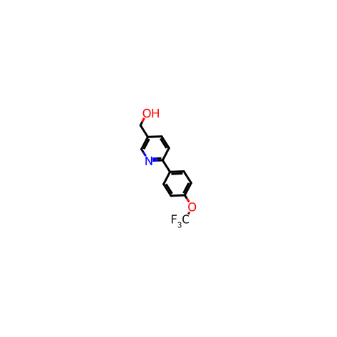 OCc1ccc(-c2ccc(OC(F)(F)F)cc2)nc1